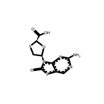 Nc1ncc2sc(=O)n([C@H]3CS[C@@H](C(=O)O)O3)c2n1